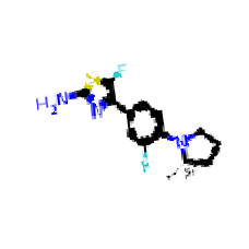 C[C@H]1CCCN1c1ccc(-c2nc(N)sc2F)cc1F